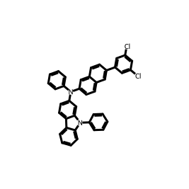 Clc1cc(Cl)cc(-c2ccc3cc(N(c4ccccc4)c4ccc5c6ccccc6n(-c6ccccc6)c5c4)ccc3c2)c1